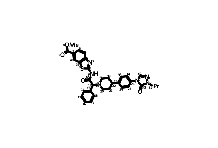 COC(=O)c1ccc2nc(NC(=O)C(c3ccccc3)N3CCC(c4ccc(-n5cnn(C(C)C)c5=O)cc4)CC3)sc2c1